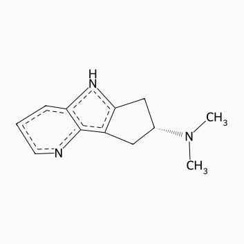 CN(C)[C@H]1Cc2[nH]c3cccnc3c2C1